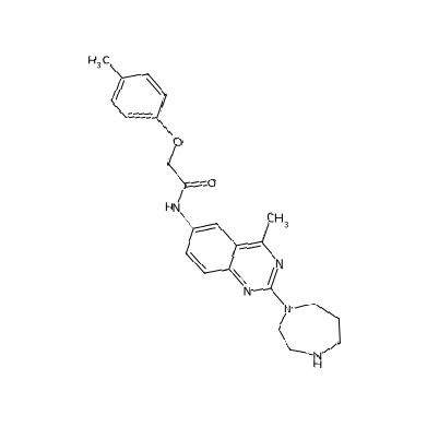 Cc1ccc(OCC(=O)Nc2ccc3nc(N4CCCNCC4)nc(C)c3c2)cc1